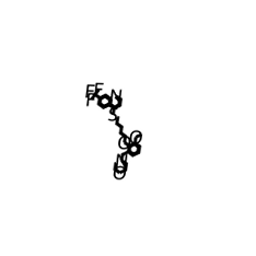 COc1cccc(CN2CCOCC2)c1OCCCCCSc1ccnc2cc(C(F)(F)F)ccc12